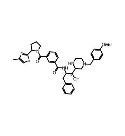 COc1ccc(CN2CCNC([C@@H](O)C(Cc3ccccc3)NC(=O)c3cccc(C(=O)N4CCCC4c4nc(C)cs4)c3)C2)cc1